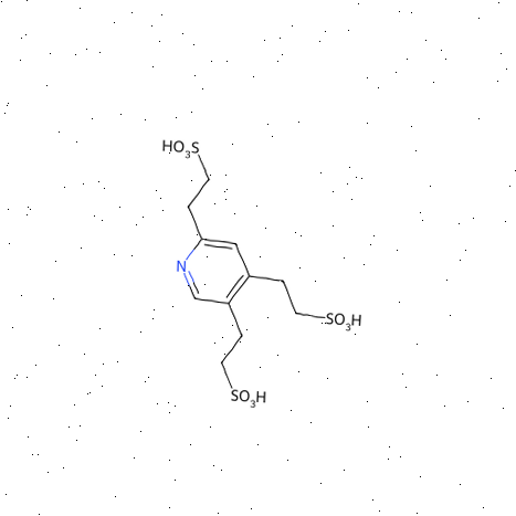 O=S(=O)(O)CCc1cc(CCS(=O)(=O)O)c(CCS(=O)(=O)O)cn1